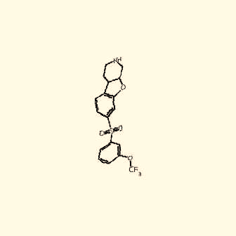 O=S(=O)(c1cccc(OC(F)(F)F)c1)c1ccc2c(c1)OC1CNCCC21